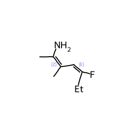 CC/C(F)=C\C(C)=C(\C)N